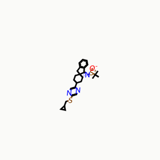 CC(C)(C)[S+]([O-])/N=C1\c2ccccc2CC12CCC(c1cnc(SCC3CC3)cn1)CC2